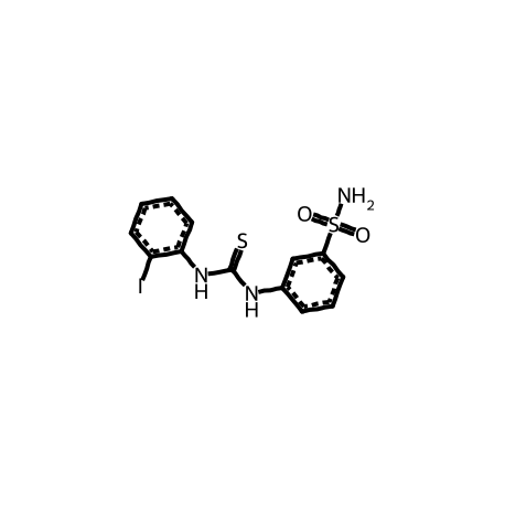 NS(=O)(=O)c1cccc(NC(=S)Nc2ccccc2I)c1